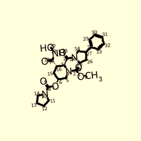 COC(=O)N1C[C@@H](OC(=O)N2CCCC2)C[C@H](C(=O)NO)[C@H]1C(=O)N1CCC(c2ccccc2)C1